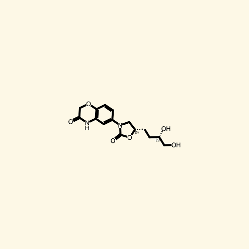 O=C1COc2ccc(N3C[C@H](CC[C@H](O)CO)OC3=O)cc2N1